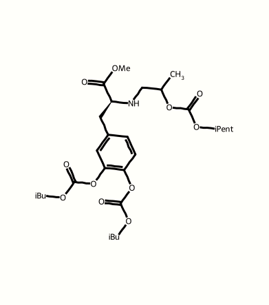 CCCC(C)OC(=O)OC(C)CN[C@@H](Cc1ccc(OC(=O)OC(C)CC)c(OC(=O)OC(C)CC)c1)C(=O)OC